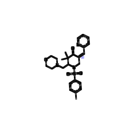 Cc1ccc(S(=O)(=O)N2C/C(=C/c3ccccn3)C(=O)C(C)(C)C2CN2CCOCC2)cc1